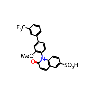 COc1cc(-c2cccc(C(F)(F)F)c2)ccc1-n1c(=O)ccc2cc(S(=O)(=O)O)ccc21